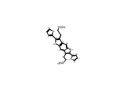 CCCCCCCCCCCCc1c(-c2cccs2)sc2cc3c(CCCCCCCCCCCC)c(-c4cccs4)sc3cc12